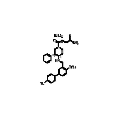 COc1ccc(-c2ccc(C#N)cc2)cc1CN[C@H]1CCN(C(=O)[C@@H](CC(N)=O)NC(C)=O)C[C@H]1c1ccccc1